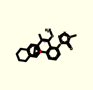 C/C(=C(\ON)c1c(C2CC2)cccc1-n1nnn(C)c1=O)c1ccc2c(c1)CCCC2